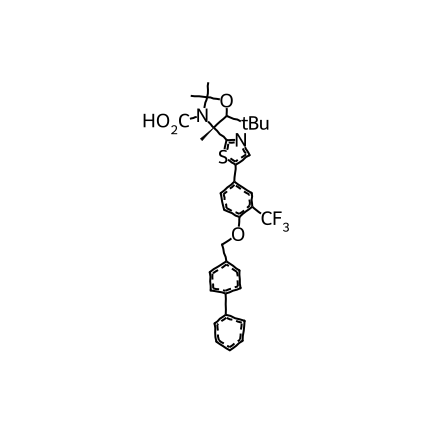 CC(C)(C)C1OC(C)(C)N(C(=O)O)[C@@]1(C)c1ncc(-c2ccc(OCc3ccc(-c4ccccc4)cc3)c(C(F)(F)F)c2)s1